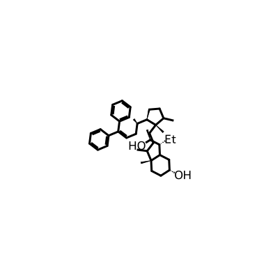 CC[C@H](C1C[C@H](O)CC[C@]1(C)C(C)CC[C@@]1(C)C(C)CC[C@@H]1[C@H](C)CC=C(c1ccccc1)c1ccccc1)[C@H](C)O